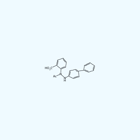 CC(=O)N(Nc1ccc(-c2ccccc2)cc1)c1ccccc1C(=O)O